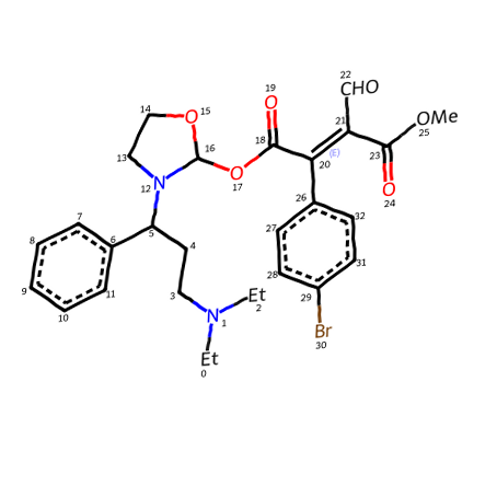 CCN(CC)CCC(c1ccccc1)N1CCOC1OC(=O)/C(=C(\C=O)C(=O)OC)c1ccc(Br)cc1